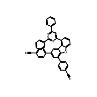 N#Cc1ccc(-c2cc(-c3ccc(C#N)cc3)c3oc4cccc(-c5nc(-c6ccccc6)nc(-c6ccccc6)n5)c4c3c2)cc1